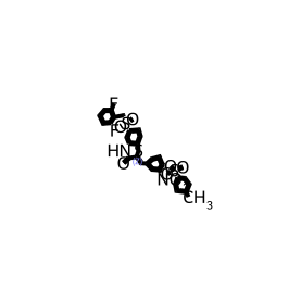 Cc1ccc(S(=O)(=O)Oc2ccc(/C=C3\Sc4ccc(S(=O)(=O)Cc5c(F)cccc5F)cc4NC3=O)cc2[N+](=O)[O-])cc1